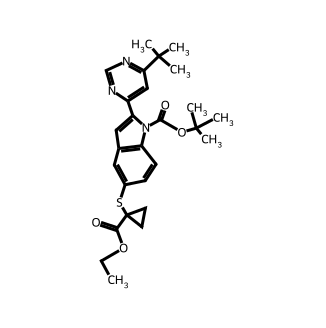 CCOC(=O)C1(Sc2ccc3c(c2)cc(-c2cc(C(C)(C)C)ncn2)n3C(=O)OC(C)(C)C)CC1